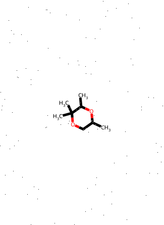 CC1COC(C)(C)C(C)O1